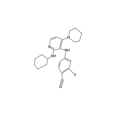 N#Cc1ccc(Nc2c(N3CCCCC3)ccnc2NC2CCCCC2)cc1F